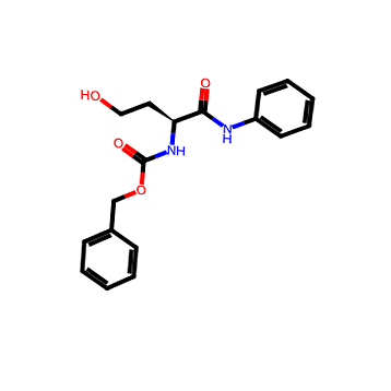 O=C(N[C@@H](CCO)C(=O)Nc1ccccc1)OCc1ccccc1